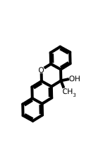 CC1(O)c2ccccc2Oc2cc3ccccc3cc21